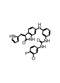 O=C(Nc1cccc(Nc2ccc3c(c2)NC(=O)C3=Cc2ccc[nH]2)c1)Nc1ccc(F)c(Cl)c1